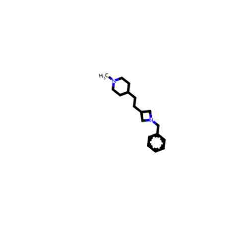 CN1CCC(CCC2CN(Cc3ccccc3)C2)CC1